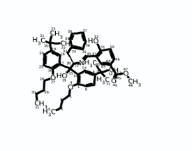 CCCCOc1ccc(C(C)(C)C)cc1C(O)(c1cc(C(C)(C)C)ccc1OCCCC)[C@@H](Cc1ccccc1)N=Cc1cc(C(=O)OC)ccc1O